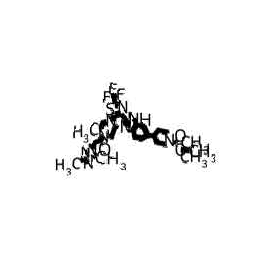 Cc1nc(C)n(CC(=O)N2CCN(c3sc(C(F)(F)F)nc3-c3nc4ccc(C5CCN(C(=O)OC(C)(C)C)CC5)cc4[nH]3)CC2C)n1